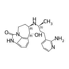 C[C@@H](CCc1cccnc1N)N[C@@H]1CCn2c(=O)[nH]c3cccc(c32)[C@H]1O